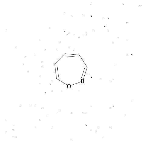 B1=CC=CC=CO1